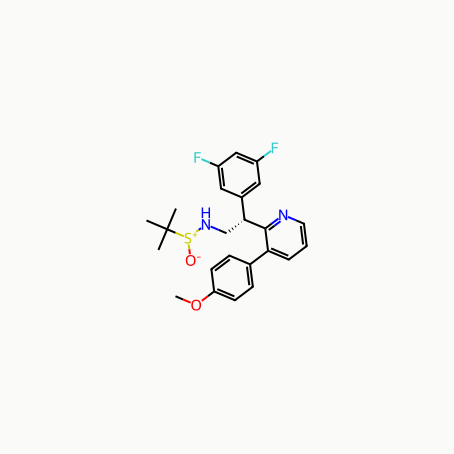 COc1ccc(-c2cccnc2[C@H](CN[S+]([O-])C(C)(C)C)c2cc(F)cc(F)c2)cc1